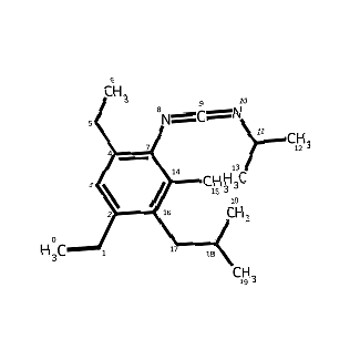 CCc1cc(CC)c(N=C=NC(C)C)c(C)c1CC(C)C